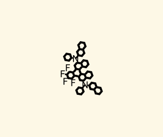 Fc1c(F)c(F)c2c3cc(N(c4ccccc4)c4ccc5ccccc5c4)c4ccccc4c3c3c4ccccc4c(N(c4ccccc4)c4ccc5ccccc5c4)cc3c2c1F